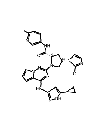 O=C(Nc1ccc(F)nc1)[C@@H]1C[C@H](n2ccnc2Cl)CN1c1nc(Nc2cc(C3CC3)[nH]n2)c2cccn2n1